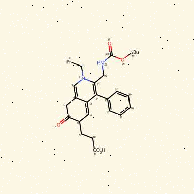 CC(C)CN1C=C2CC(=O)C(CCC(=O)O)C=C2C(c2ccccc2)=C1CNC(=O)OC(C)(C)C